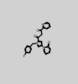 O=C(CC(=O)c1cc(-n2ccccc2=O)cn1Cc1ccc(F)cc1)c1ccccn1